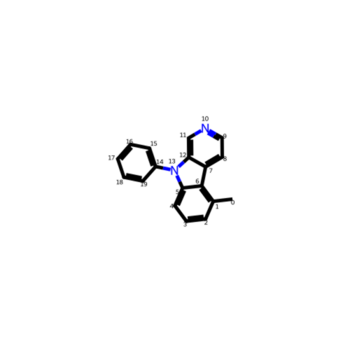 Cc1cccc2c1c1ccncc1n2-c1ccccc1